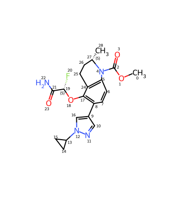 COC(=O)N1c2ccc(-c3cnn(C4CC4)c3)c(O[C@@H](F)C(N)=O)c2CC[C@@H]1C